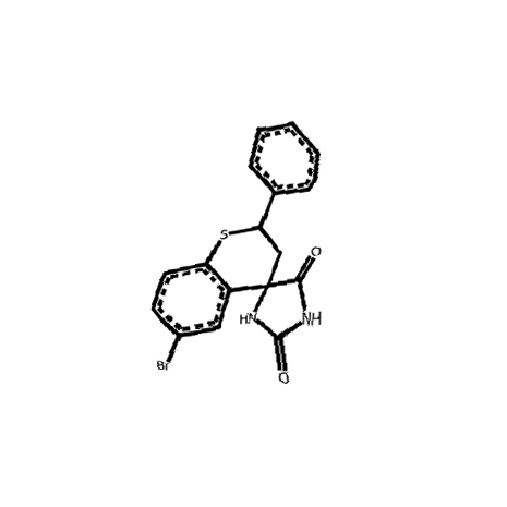 O=C1NC(=O)C2(CC(c3ccccc3)Sc3ccc(Br)cc32)N1